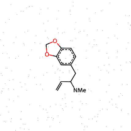 C=CC(Cc1ccc2c(c1)OCO2)NC